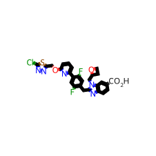 O=C(O)c1ccc2nc(Cc3cc(F)c(-c4cccc(OCc5nnc(Cl)s5)n4)cc3F)n(CC3CCO3)c2c1